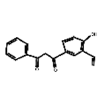 C=Cc1cc(C(=O)CC(=O)c2ccccc2)ccc1O